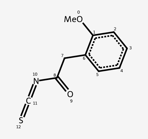 COc1ccccc1CC(=O)N=C=S